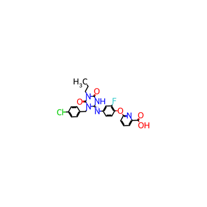 CCCn1c(=O)[nH]/c(=N\c2ccc(Oc3cccc(C(=O)O)n3)c(F)c2)n(Cc2ccc(Cl)cc2)c1=O